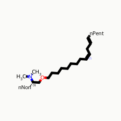 CCCCCC=CC/C=C\CCCCCCCCOC[C@H](CCCCCCCCC)N(C)C